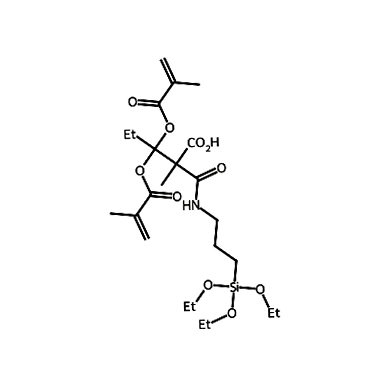 C=C(C)C(=O)OC(CC)(OC(=O)C(=C)C)C(C)(C(=O)O)C(=O)NCCC[Si](OCC)(OCC)OCC